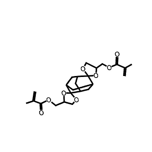 C=C(C)C(=O)OCC1COC2(O1)C1CC3CC2CC(C1)C31OCC(COC(=O)C(=C)C)O1